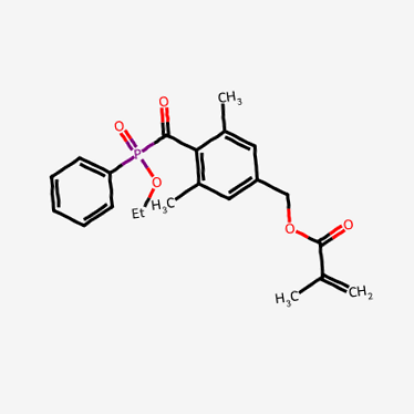 C=C(C)C(=O)OCc1cc(C)c(C(=O)P(=O)(OCC)c2ccccc2)c(C)c1